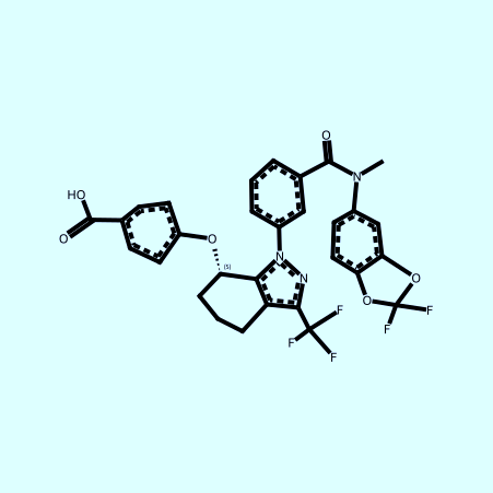 CN(C(=O)c1cccc(-n2nc(C(F)(F)F)c3c2[C@@H](Oc2ccc(C(=O)O)cc2)CCC3)c1)c1ccc2c(c1)OC(F)(F)O2